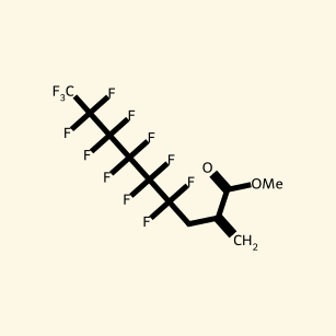 C=C(CC(F)(F)C(F)(F)C(F)(F)C(F)(F)C(F)(F)C(F)(F)F)C(=O)OC